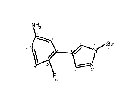 CC(C)(C)n1cc(-c2cc(N)ncc2F)cn1